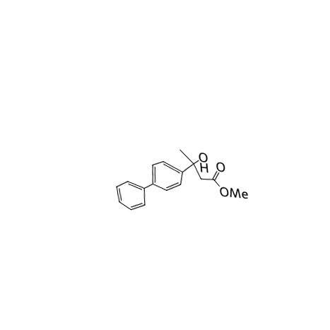 COC(=O)CC(C)(O)c1ccc(-c2ccccc2)cc1